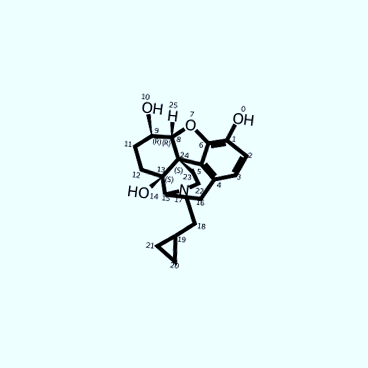 Oc1ccc2c3c1O[C@H]1[C@H](O)CC[C@@]4(O)C(C2)N(CC2CC2)CC[C@]314